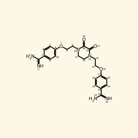 N=C(N)c1ccc(OCCN2CCN(CCOc3ccc(C(=N)N)cc3)C(=O)C2=O)cc1